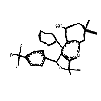 CC1(C)Cc2nc3c(c(C4CCCC4)c2C(O)C1)C(c1ccc(C(F)(F)F)cc1)OC3(C)C